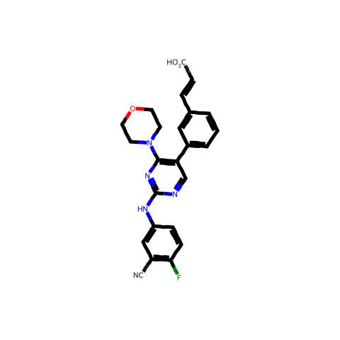 N#Cc1cc(Nc2ncc(-c3cccc(C=CC(=O)O)c3)c(N3CCOCC3)n2)ccc1F